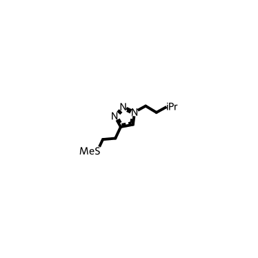 CSCCc1cn(CCC(C)C)nn1